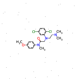 COc1ccc(N(C)C(=O)CN(CCN(C)C)c2cc(Cl)ccc2Cl)cc1